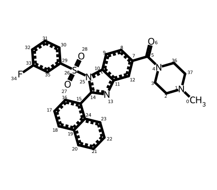 CN1CCN(C(=O)c2ccc3c(c2)nc(-c2cccc4ccccc24)n3S(=O)(=O)c2cccc(F)c2)CC1